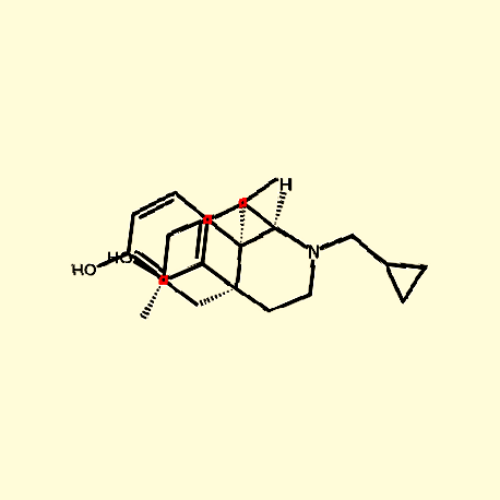 CC[C@@]12CC[C@](C)(O)C[C@@]13CCN(CC1CC1)[C@@H]2Cc1ccc(O)cc13